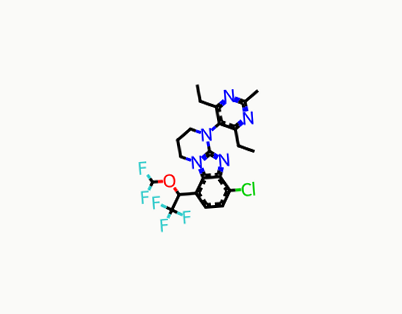 CCc1nc(C)nc(CC)c1N1CCCn2c1nc1c(Cl)ccc(C(OC(F)F)C(F)(F)F)c12